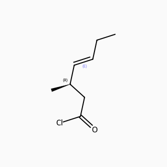 CC/C=C/[C@H](C)CC(=O)Cl